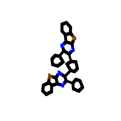 c1ccc(-c2nc3c(nc2-c2cccc(-c4nc5sc6ccccc6c5nc4-c4ccccc4)c2)sc2ccccc23)cc1